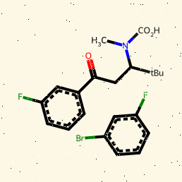 CN(C(=O)O)C(CC(=O)c1cccc(F)c1)C(C)(C)C.Fc1cccc(Br)c1